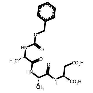 C[C@H](NC(=O)OCc1ccccc1)C(=O)N[C@@H](C)C(=O)N[C@@H](CC(=O)O)C(=O)O